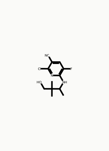 CC(Nc1nc(Cl)c(C#N)cc1F)C(C)(C)CO